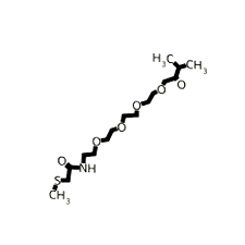 CSCC(=O)NCCOCCOCCOCCOCC(=O)C(C)C